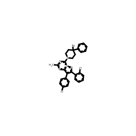 CC(=O)C1(c2ccccc2)CCN(c2nc(C)nc3c(-c4ccc(Cl)cc4)c(-c4ccccc4Cl)nn23)CC1